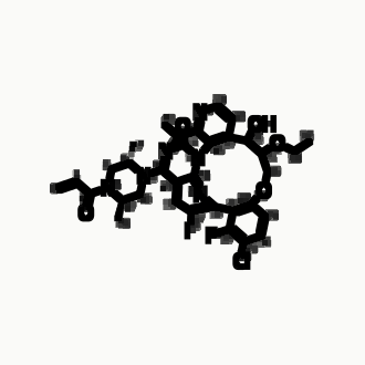 C=CC(=O)N1C[C@H](C)N(c2nc(=O)n3c4nc(c(F)cc24)-c2c(ccc(Cl)c2F)OCC(OCC)C(O)c2ccnc(C(C)C)c2-3)C[C@H]1C